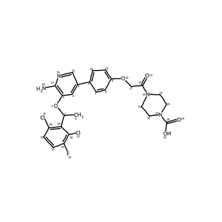 CC(Oc1cc(-c2ccc(OCC(=O)N3CCN(C(=O)O)CC3)cc2)cnc1N)c1c(Cl)ccc(F)c1Cl